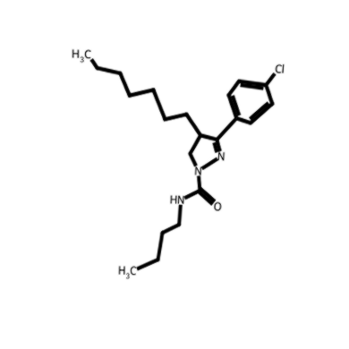 CCCCCCCC1CN(C(=O)NCCCC)N=C1c1ccc(Cl)cc1